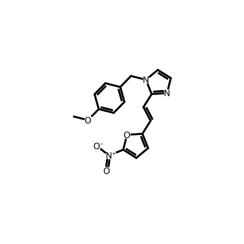 COc1ccc(Cn2ccnc2/C=C/c2ccc([N+](=O)[O-])o2)cc1